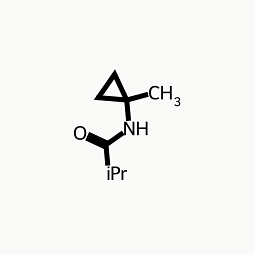 CC(C)C(=O)NC1(C)CC1